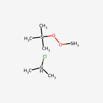 C[SiH](C)Cl.C[Si](C)(C)OO[SiH3]